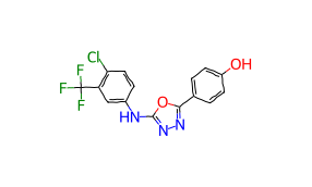 Oc1ccc(-c2nnc(Nc3ccc(Cl)c(C(F)(F)F)c3)o2)cc1